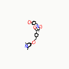 COc1ccc(CN2C(=O)C[C@@](C)(C(C)c3ccc(CCOc4cc(C)nc(C)c4)cc3)C2=O)cc1